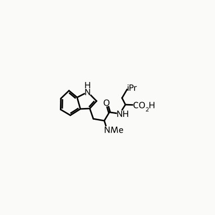 CNC(Cc1c[nH]c2ccccc12)C(=O)NC(CC(C)C)C(=O)O